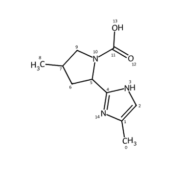 Cc1c[nH]c(C2CC(C)CN2C(=O)O)n1